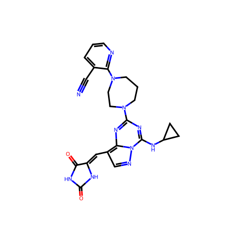 N#Cc1cccnc1N1CCCN(c2nc(NC3CC3)n3ncc(/C=C4\NC(=O)NC4=O)c3n2)CC1